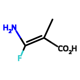 CC(C(=O)O)=C(N)F